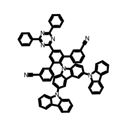 N#Cc1cccc(-c2cc(-c3nc(-c4ccccc4)nc(-c4ccccc4)n3)cc(-c3cccc(C#N)c3)c2-n2c3ccc(-n4c5ccccc5c5ccccc54)cc3c3cc(-n4c5ccccc5c5ccccc54)ccc32)c1